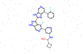 OC(Nc1cncc(-c2ncc3[nH]nc(-c4nc5c(-c6ccccc6F)cncc5[nH]4)c3c2F)c1)C1CCC1